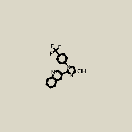 Cl.FC(F)(F)c1ccc(-n2ccnc2-c2cnc3ccccc3c2)cc1